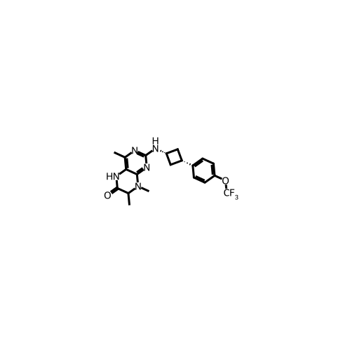 Cc1nc(N[C@H]2C[C@@H](c3ccc(OC(F)(F)F)cc3)C2)nc2c1NC(=O)C(C)N2C